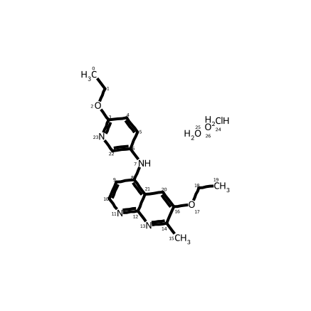 CCOc1ccc(Nc2ccnc3nc(C)c(OCC)cc23)cn1.Cl.O.O